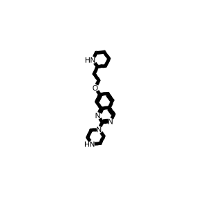 c1cc2cnc(N3CCNCC3)nc2cc1OCCC1CCCCN1